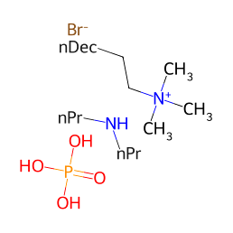 CCCCCCCCCCCC[N+](C)(C)C.CCCNCCC.O=P(O)(O)O.[Br-]